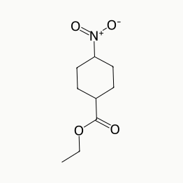 CCOC(=O)C1CCC([N+](=O)[O-])CC1